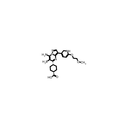 Bc1c(N)n2ncc(C3=CC=C(OCCOC)NC3)c2nc1[C@H]1CC[C@H](C(=O)O)CC1